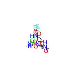 CCn1cc(S(=O)(=O)N2C[C@H]([C@H](C)NC(C)=O)Oc3ccc(NC(=O)OC(C)(C)C(F)(F)F)cc32)c(Cl)n1